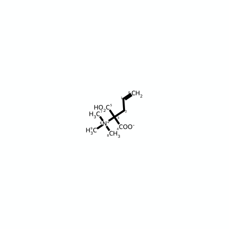 C=CCC(C(=O)[O-])(C(=O)O)[N+](C)(C)C